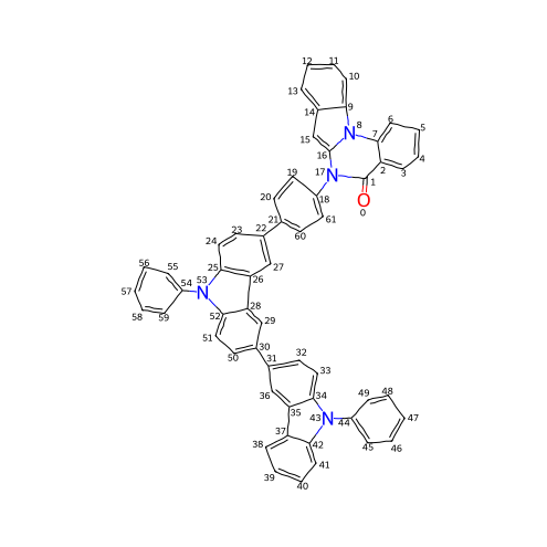 O=c1c2ccccc2n2c3ccccc3cc2n1-c1ccc(-c2ccc3c(c2)c2cc(-c4ccc5c(c4)c4ccccc4n5-c4ccccc4)ccc2n3-c2ccccc2)cc1